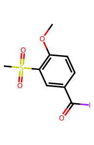 COc1ccc(C(=O)I)cc1S(C)(=O)=O